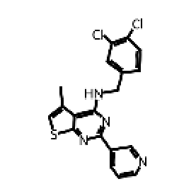 Cc1csc2nc(-c3cccnc3)nc(NCc3ccc(Cl)c(Cl)c3)c12